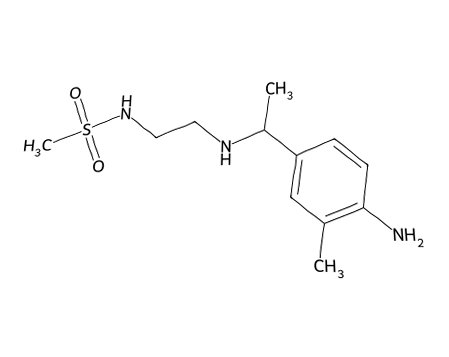 Cc1cc(C(C)NCCNS(C)(=O)=O)ccc1N